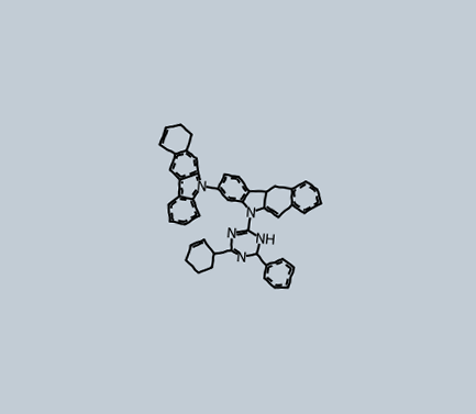 C1=CC(C2=NC(c3ccccc3)NC(N3C4=Cc5ccccc5CC4c4ccc(-n5c6ccccc6c6cc7c(cc65)CCC=C7)cc43)=N2)CCC1